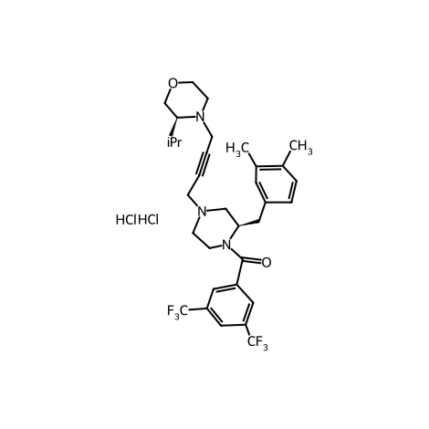 Cc1ccc(C[C@@H]2CN(CC#CCN3CCOC[C@@H]3C(C)C)CCN2C(=O)c2cc(C(F)(F)F)cc(C(F)(F)F)c2)cc1C.Cl.Cl